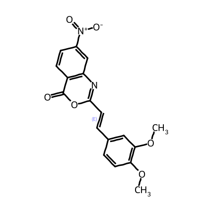 COc1ccc(/C=C/c2nc3cc([N+](=O)[O-])ccc3c(=O)o2)cc1OC